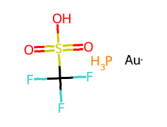 O=S(=O)(O)C(F)(F)F.P.[Au]